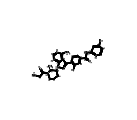 C[C@@H]1[C@H](n2nc(-c3ccc(C(=O)Nc4cc(F)ccn4)cc3F)c3c(N)ncnc32)CCCN1C(=O)CC#N